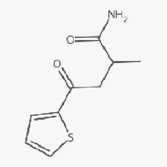 CC(CC(=O)c1cccs1)C(N)=O